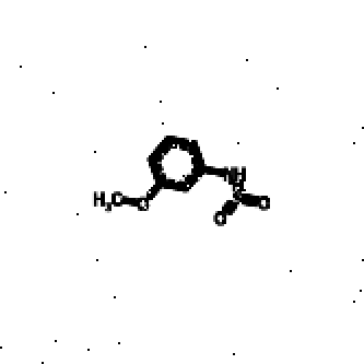 COc1cccc(N[SH](=O)=O)c1